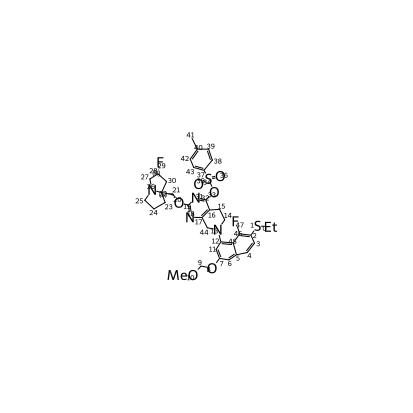 CCSc1ccc2cc(OCOC)cc(N3CCc4c(nc(OC[C@@]56CCCN5C[C@H](F)C6)nc4OS(=O)(=O)c4ccc(C)cc4)C3)c2c1F